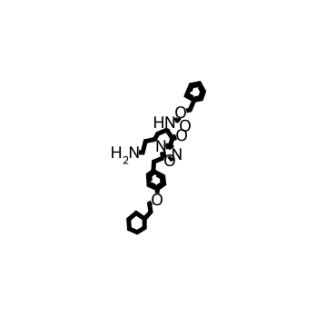 NCCCCC(NC(=O)OCc1ccccc1)C(=O)c1noc(Cc2ccc(OCCC3CCCCC3)cc2)n1